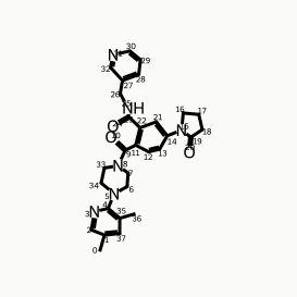 Cc1cnc(N2CCN(C(=O)c3ccc(N4CCCC4=O)cc3C(=O)NCc3cccnc3)CC2)c(C)c1